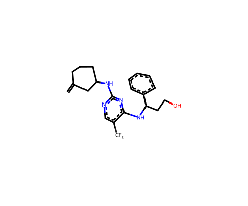 C=C1CCCC(Nc2ncc(C(F)(F)F)c(NC(CCO)c3ccccc3)n2)C1